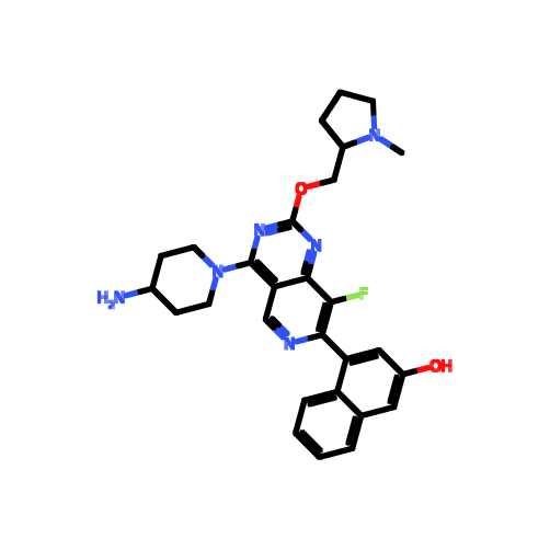 CN1CCCC1COc1nc(N2CCC(N)CC2)c2cnc(-c3cc(O)cc4ccccc34)c(F)c2n1